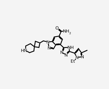 CCn1nc(C)cc1-c1nnc(-c2cc(C(N)=O)cc3c2cnn3CC2CC3(CCNCC3)C2)[nH]1